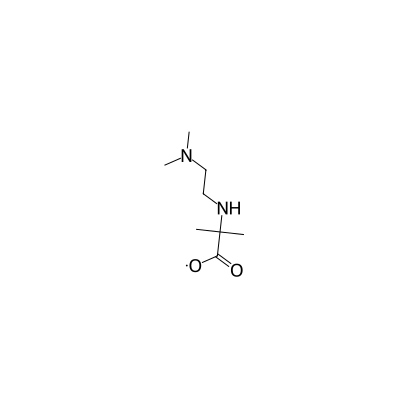 CN(C)CCNC(C)(C)C([O])=O